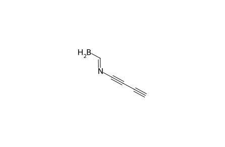 B/C=N/C#CC#C